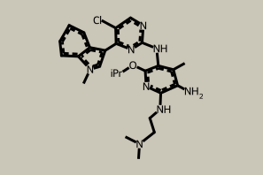 Cc1c(N)c(NCCN(C)C)nc(OC(C)C)c1Nc1ncc(Cl)c(-c2cn(C)c3ccccc23)n1